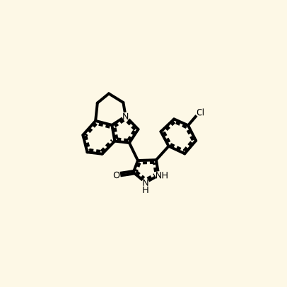 O=c1[nH][nH]c(-c2ccc(Cl)cc2)c1-c1cn2c3c(cccc13)CCC2